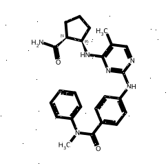 Cc1cnc(Nc2ccc(C(=O)N(C)c3ccccc3)cc2)nc1N[C@@H]1CCC[C@@H]1C(N)=O